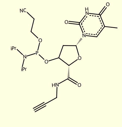 C#CCNC(=O)[C@H]1O[C@@H](n2cc(C)c(=O)[nH]c2=O)CC1OP(OCCC#N)N(C(C)C)C(C)C